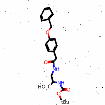 CC(C)(C)OC(=O)NC(CNC(=O)Cc1ccc(OCc2ccccc2)cc1)C(=O)O